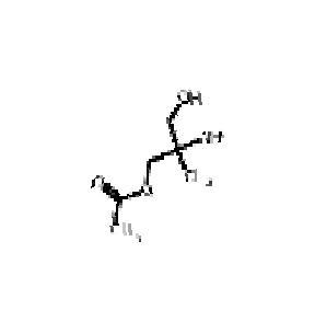 CC(=O)OCC(C)([NH])CO